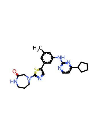 Cc1cc(Nc2nccc(C3CCCC3)n2)cc(-c2cnc(N3CCCNC(=O)C3)s2)c1